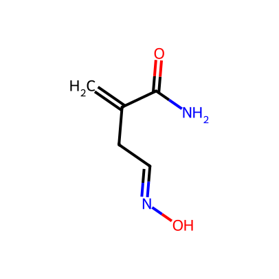 C=C(CC=NO)C(N)=O